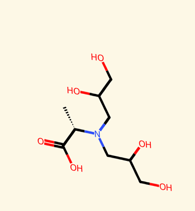 C[C@@H](C(=O)O)N(CC(O)CO)CC(O)CO